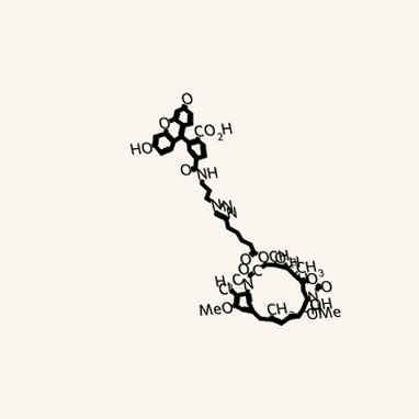 COc1cc2cc(c1Cl)N(C)C(=O)C[C@H](OC(=O)CCCCc1cn(CCCNC(=O)c3ccc(C(=O)O)c(-c4c5ccc(=O)cc-5oc5cc(O)ccc45)c3)nn1)[C@]1(C)O[C@H]1[C@H](C)[C@@H]1C[C@@](O)(NC(=O)O1)[C@H](OC)/C=C/C=C(\C)C2